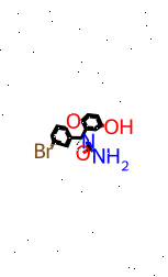 NC1=N[C@]2(CO1)c1cc(O)ccc1Oc1ccc(Br)cc12